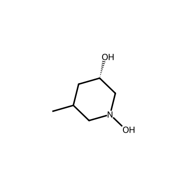 CC1C[C@H](O)CN(O)C1